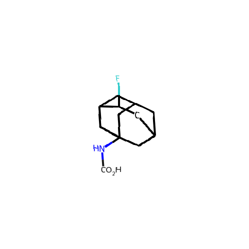 O=C(O)NC12CC3CC(CC(C1)C(F)C3)C2